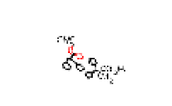 C=C(C(=O)O)C(C1=CCCC1)C1=CCCC1.O=CCOC(=O)C(=CC1=CCCC1)C1=CCCC1